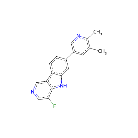 Cc1cc(-c2ccc3c(c2)[nH]c2c(F)cncc23)cnc1C